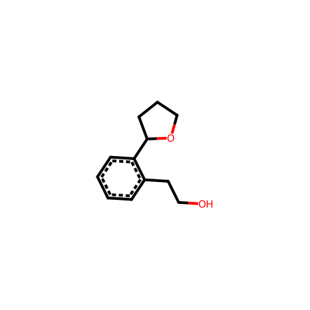 OCCc1ccccc1C1CCCO1